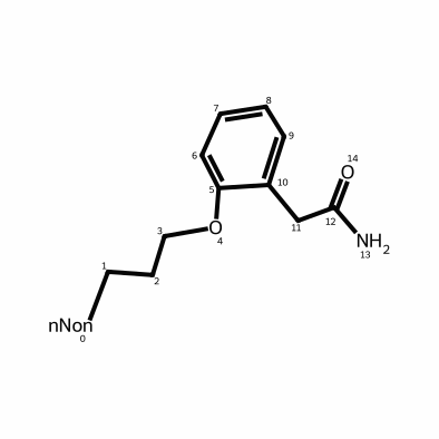 CCCCCCCCCCCCOc1ccccc1CC(N)=O